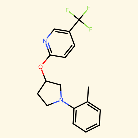 Cc1ccccc1N1CCC(Oc2ccc(C(F)(F)F)cn2)C1